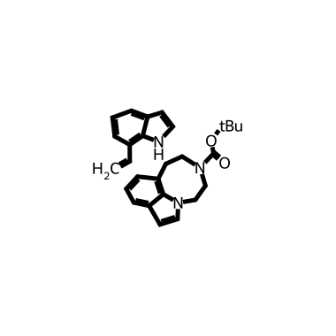 C=Cc1cccc2cc[nH]c12.CC(C)(C)OC(=O)N1CCc2cccc3ccn(c23)CC1